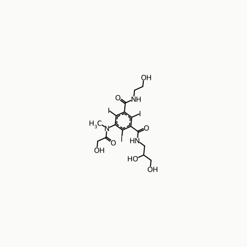 CN(C(=O)CO)c1c(I)c(C(=O)NCCO)c(I)c(C(=O)NCC(O)CO)c1I